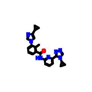 Cc1c(C(=O)Nc2cccc(-c3nncn3C3CC3)n2)cccc1-n1cnc(C2CC2)c1